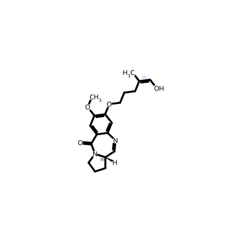 COc1cc2c(cc1OCCC/C(C)=C\O)N=C[C@@H]1CCCN1C2=O